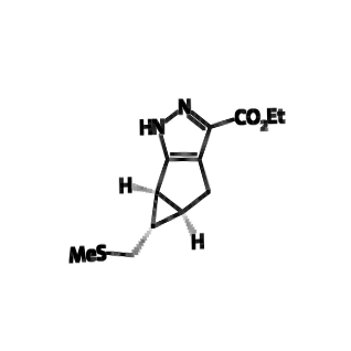 CCOC(=O)c1n[nH]c2c1C[C@H]1[C@H](CSC)[C@@H]21